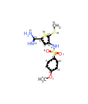 COc1ccc(S(=O)(=O)Nc2cc(C(=N)N)sc2SC)cc1